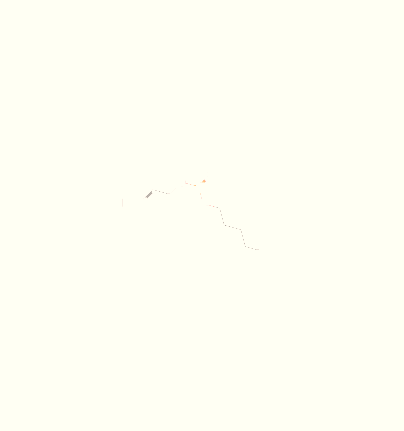 C=CCO[P](=O)OCCCCC